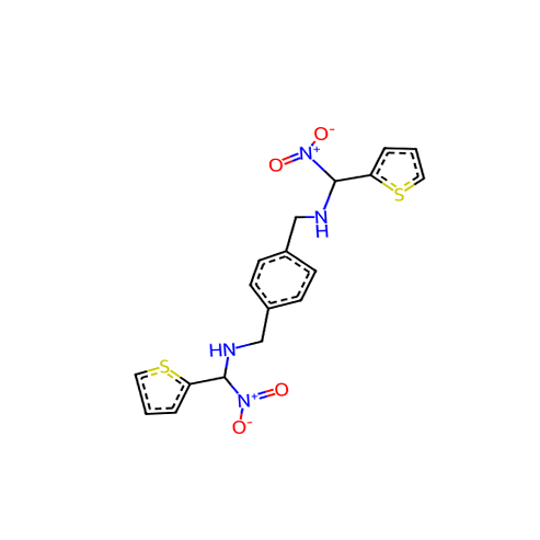 O=[N+]([O-])C(NCc1ccc(CNC(c2cccs2)[N+](=O)[O-])cc1)c1cccs1